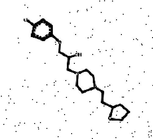 OC(COc1ccc(Cl)cc1)CN1CCN(CCC2CCCS2)CC1